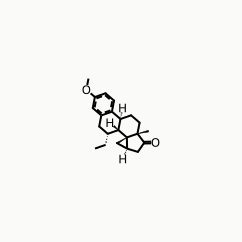 CC[C@@H]1Cc2cc(OC)ccc2[C@H]2CC[C@]3(C)C(=O)C[C@H]4C[C@]43[C@H]12